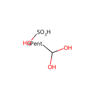 CCCCCC(O)O.O=S(=O)(O)O